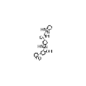 COc1ncccc1-c1ccc(O)c(-c2nc3ccc(C(=O)NCc4nc5ccccc5[nH]4)cc3[nH]2)c1